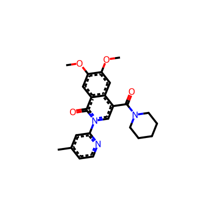 COc1cc2c(C(=O)N3CCCCC3)cn(-c3cc(C)ccn3)c(=O)c2cc1OC